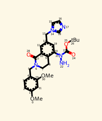 COc1ccc(CN2CCc3c(cc(Cn4ccnc4)cc3N(N)C(=O)OC(C)(C)C)C2=O)c(OC)c1